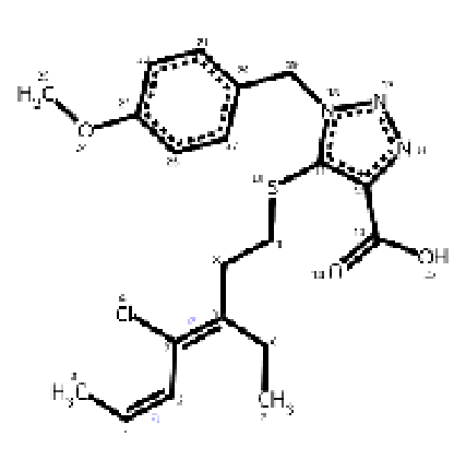 C/C=C\C(Cl)=C(/CC)CCSc1c(C(=O)O)nnn1Cc1ccc(OC)cc1